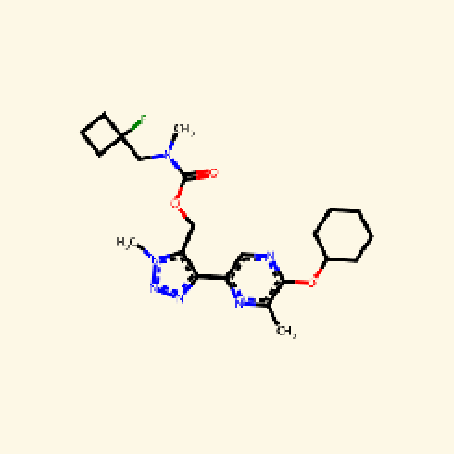 Cc1nc(-c2nnn(C)c2COC(=O)N(C)CC2(F)CCC2)cnc1OC1CCCCC1